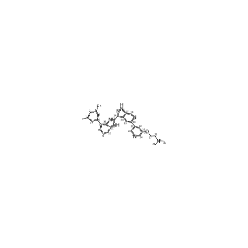 Cc1cc(F)cc(-c2cccc3[nH]c(-c4n[nH]c5cnc(-c6cncc(OCCN(C)C)c6)cc45)nc23)c1